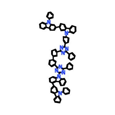 c1ccc(-c2nc(-c3ccc(-n4c5ccccc5c5ccc(-c6ccc7c8ccccc8n(-c8ccccc8)c7c6)cc54)cc3)nc(-c3cccc(-c4cccc(-c5nc(-c6ccccc6)nc(-n6c7ccccc7c7c(-c8ccc9c%10ccccc%10n(-c%10ccccc%10)c9c8)cccc76)n5)c4)c3)n2)cc1